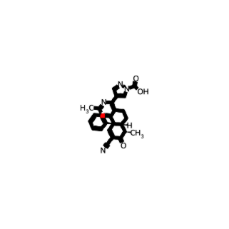 Cc1nc(-c2cnn(C(=O)O)c2)c2c(n1)[C@@]1(c3ccccc3)C=C(C#N)C(=O)[C@@H](C)[C@@H]1CC2